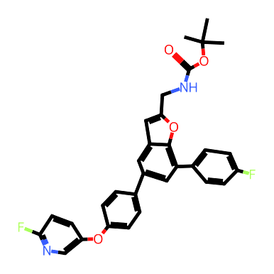 CC(C)(C)OC(=O)NCc1cc2cc(-c3ccc(Oc4ccc(F)nc4)cc3)cc(-c3ccc(F)cc3)c2o1